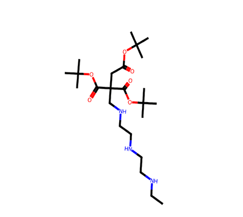 CCNCCNCCNCC(CC(=O)OC(C)(C)C)(C(=O)OC(C)(C)C)C(=O)OC(C)(C)C